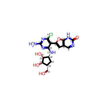 Nc1nc(Cl)c(-c2cc3cnc(=O)[nH]c3o2)c(N[C@@H]2C[C@H](CO)[C@@H](O)[C@H]2O)n1